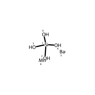 O[Si](O)(O)O.[Ba].[Mn]